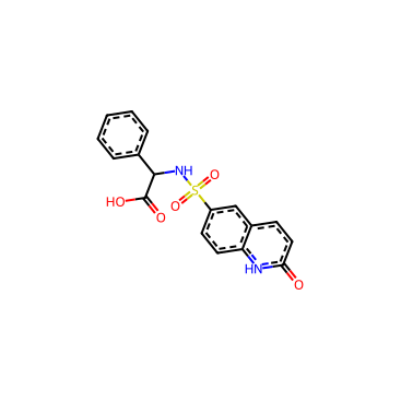 O=C(O)C(NS(=O)(=O)c1ccc2[nH]c(=O)ccc2c1)c1ccccc1